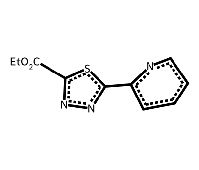 CCOC(=O)c1nnc(-c2ccccn2)s1